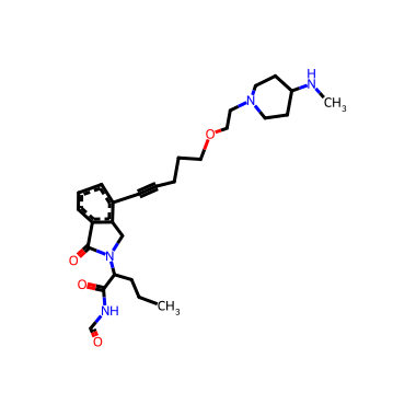 CCCC(C(=O)NC=O)N1Cc2c(C#CCCCOCCN3CCC(NC)CC3)cccc2C1=O